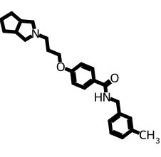 Cc1cccc(CNC(=O)c2ccc(OCCCN3CC4CCCC4C3)cc2)c1